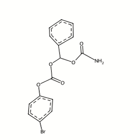 NC(=O)OC(OC(=O)Oc1ccc(Br)cc1)c1ccccc1